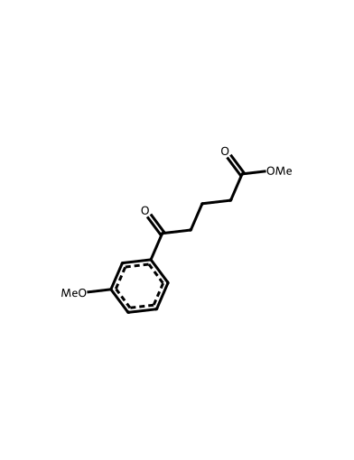 COC(=O)CCCC(=O)c1cccc(OC)c1